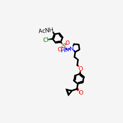 CC(=O)Nc1ccc(S(=O)(=O)NN2CCCC2CCCOc2ccc(C(=O)C3CC3)cc2)cc1Cl